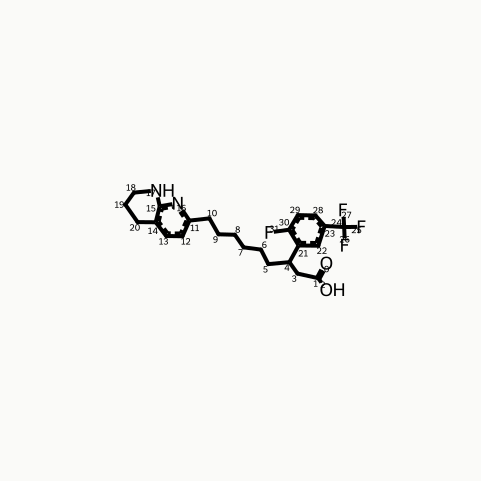 O=C(O)CC(CCCCCCc1ccc2c(n1)NCCC2)c1cc(C(F)(F)F)ccc1F